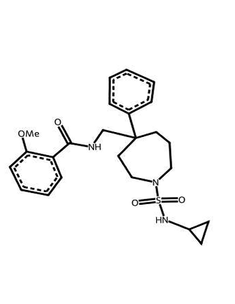 COc1ccccc1C(=O)NCC1(c2ccccc2)CCCN(S(=O)(=O)NC2CC2)CC1